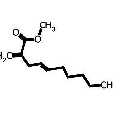 C=C(CC=CCCCCC)C(=O)OC